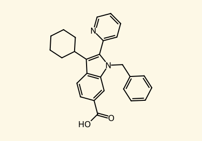 O=C(O)c1ccc2c(C3CCCCC3)c(-c3ccccn3)n(Cc3ccccc3)c2c1